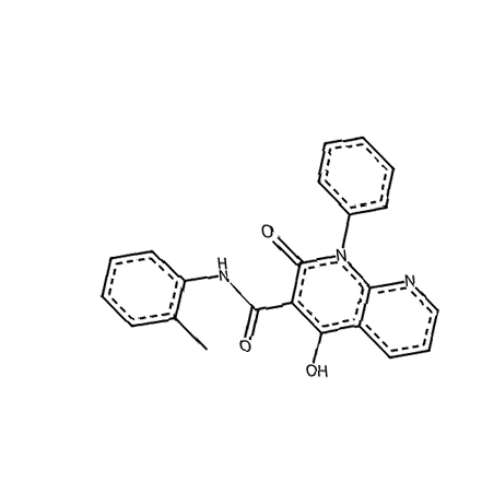 Cc1ccccc1NC(=O)c1c(O)c2cccnc2n(-c2ccccc2)c1=O